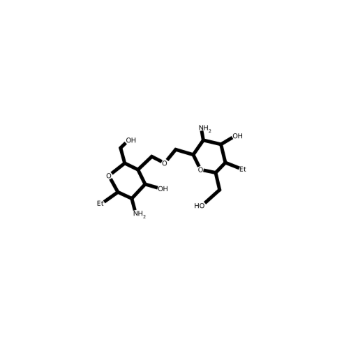 CCC1OC(CO)C(COCC2OC(CO)C(CC)C(O)C2N)C(O)C1N